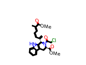 C=C(/C=C\C=C(/C)C(=O)OC)[C@H]1c2[nH]c3ccccc3c2C[C@H](C(=O)OC)N1C(=O)CCl